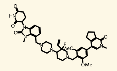 C=CC1(F)CN(Cc2c(OC)cc(-c3cn(C)c(=O)c4c3CCC4)cc2OC)CCC1N1CCN(Cc2cccc3c2n(C)c(=O)n3C2CCC(=O)NC2=O)CC1